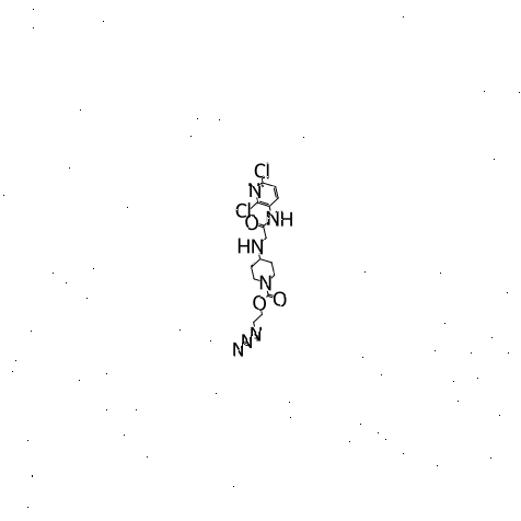 [N-]=[N+]=NCCOC(=O)N1CCC(NCC(=O)Nc2ccc(Cl)nc2Cl)CC1